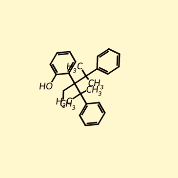 CCC(c1ccccc1O)(C(C)(C)c1ccccc1)C(C)(C)c1ccccc1